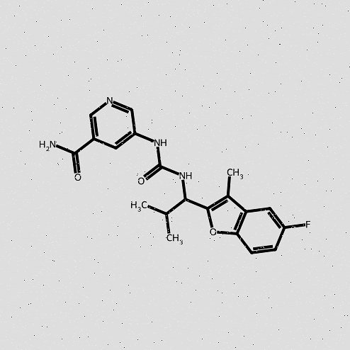 Cc1c(C(NC(=O)Nc2cncc(C(N)=O)c2)C(C)C)oc2ccc(F)cc12